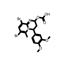 COc1ccc(C2CC(OC(=O)O)N=C3C(Br)=CC(Br)=C(C)N32)cc1OC